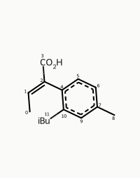 C/C=C(/C(=O)O)c1ccc(C)cc1C(C)CC